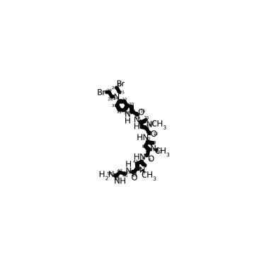 Cn1cc(NC(=O)c2cc(NC(=O)c3cc(NC(=O)c4cc5cc(N(CCBr)CCBr)ccc5[nH]4)cn3C)cn2C)cc1C(=O)NCCC(=N)N